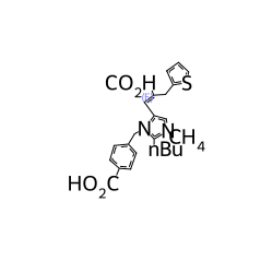 C.CCCCc1ncc(/C=C(\Cc2cccs2)C(=O)O)n1Cc1ccc(C(=O)O)cc1